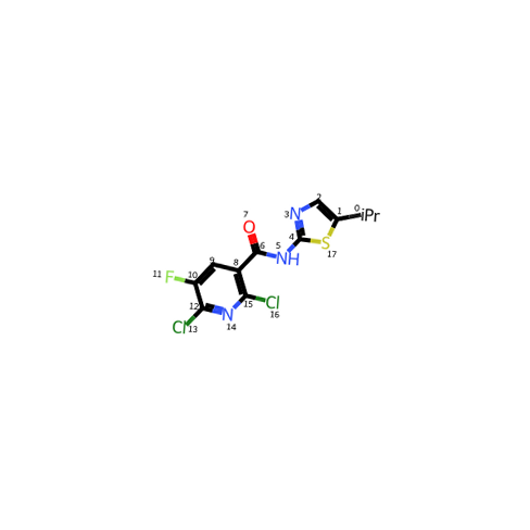 CC(C)c1cnc(NC(=O)c2cc(F)c(Cl)nc2Cl)s1